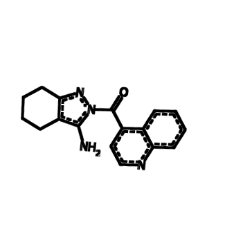 Nc1c2c(nn1C(=O)c1ccnc3ccccc13)CCCC2